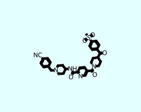 CS(=O)(=O)c1ccc(C(=O)C2CCN(C(=O)c3ccc(C(=O)NC4CCN(Cc5ccc(C#N)cc5)CC4)nc3)CC2)cc1